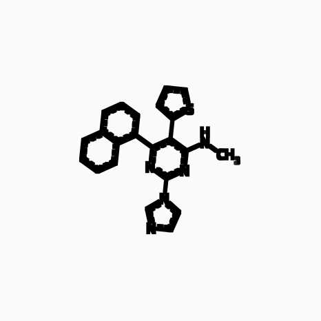 CNc1nc(-n2ccnc2)nc(-c2cccc3ccccc23)c1-c1cccs1